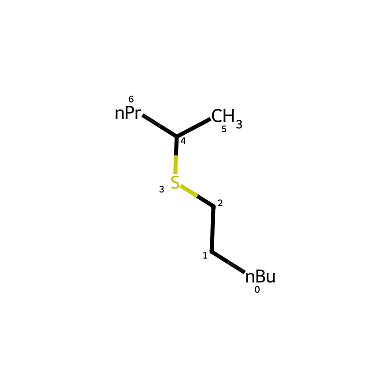 CCCCCCSC(C)CCC